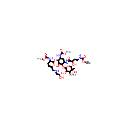 CNC1C(O)C(OC2C(NC(=O)C(O)CCNC(=O)OC(C)(C)C)CC(NC(=O)OC(C)(C)C)C(OC3OC(CNCCO)=CCC3NC(=O)OC(C)(C)C)C2O)OCC1(C)O